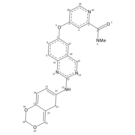 CNC(=O)c1cc(Oc2ccc3nc(NC4=CC=C5OCOC=C5C4)ncc3c2)ccn1